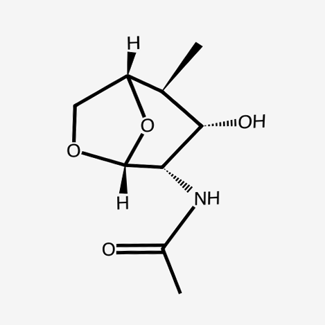 CC(=O)N[C@@H]1[C@@H]2OC[C@@H](O2)[C@@H](C)[C@@H]1O